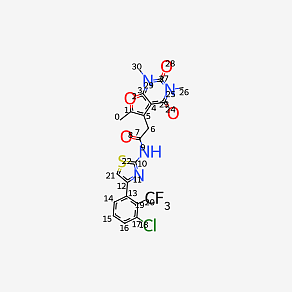 Cc1oc2c(c1CC(=O)Nc1nc(-c3cccc(Cl)c3C(F)(F)F)cs1)c(=O)n(C)c(=O)n2C